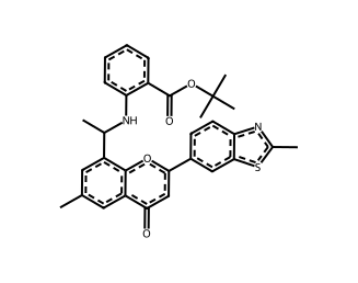 Cc1cc(C(C)Nc2ccccc2C(=O)OC(C)(C)C)c2oc(-c3ccc4nc(C)sc4c3)cc(=O)c2c1